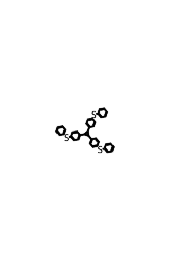 c1ccc(Sc2ccc(C3C(c4ccc(Sc5ccccc5)cc4)C3c3ccc(Sc4ccccc4)cc3)cc2)cc1